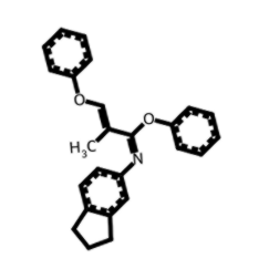 CC(=C\Oc1ccccc1)/C(=N\c1ccc2c(c1)CCC2)Oc1ccccc1